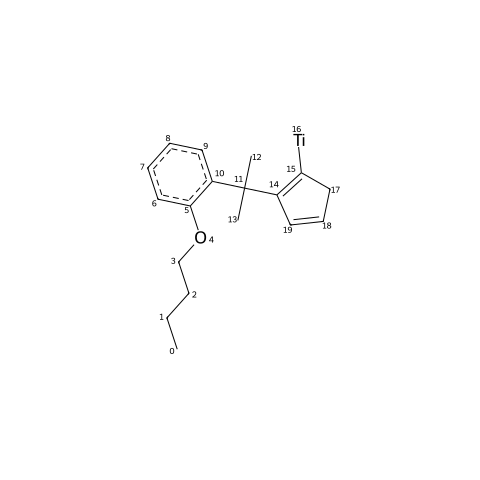 CCCCOc1ccccc1C(C)(C)C1=[C]([Ti])CC=C1